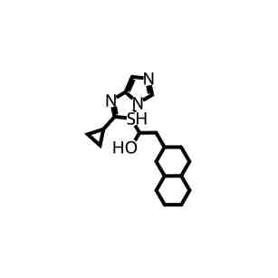 OC(CC1CCC2CCCCC2C1)[SH]1C(C2CC2)=Nc2cncn21